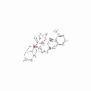 CC1(OC(=O)N2CC3COCC(C2)C3Oc2ncnc(Oc3c(F)cccc3Cl)c2F)CC1